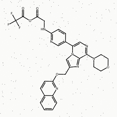 O=C(CNc1ccc(-c2cnc(N3CCOCC3)c3nc(COc4ccc5ccccc5n4)cn23)cn1)OC(=O)C(F)(F)F